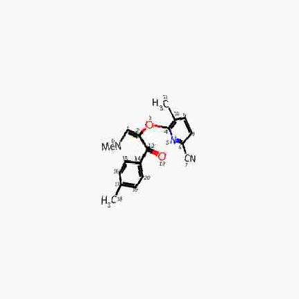 CN/C=C(/Oc1nc(C#N)ccc1C)C(=O)c1ccc(C)cc1